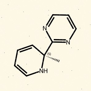 C[C@@]1(c2ncccn2)C=CC=CN1